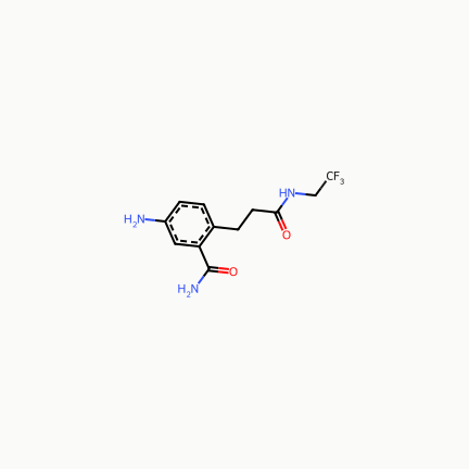 NC(=O)c1cc(N)ccc1CCC(=O)NCC(F)(F)F